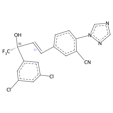 N#Cc1cc(/C=C/[C@](O)(c2cc(Cl)cc(Cl)c2)C(F)(F)F)ccc1-n1cncn1